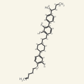 C=CCCCOc1ccc(C2CCC(CCc3ccc(-c4ccc(C(O)CCC)cc4)c(F)c3F)CC2)cc1F